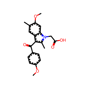 COc1ccc(C(=O)c2c(C)n(CC(=O)O)c3cc(OC)c(C)cc23)cc1